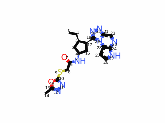 CC[C@@H]1C[C@H](NC(=O)CSc2nnc(C)o2)C[C@@H]1c1nnc2cnc3[nH]ccc3n12